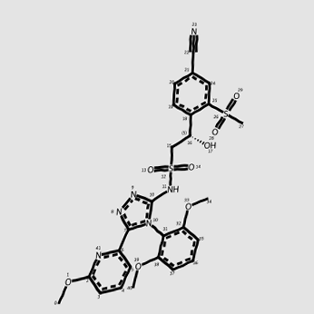 COc1cccc(-c2nnc(NS(=O)(=O)C[C@@H](O)c3ccc(C#N)cc3S(C)(=O)=O)n2-c2c(OC)cccc2OC)n1